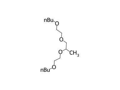 CCCCOCCOCC(C)OCCOCCCC